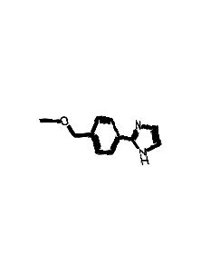 COCc1ccc(-c2ncc[nH]2)cc1